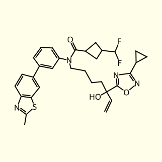 C=CC(O)(CCCCN(C(=O)C1CC(C(F)F)C1)c1cccc(-c2ccc3nc(C)sc3c2)c1)c1nc(C2CC2)no1